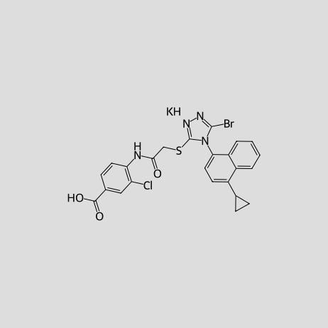 O=C(CSc1nnc(Br)n1-c1ccc(C2CC2)c2ccccc12)Nc1ccc(C(=O)O)cc1Cl.[KH]